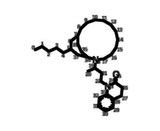 CCCCCC1CC2CCCCCCCCCCN(C(C)CCN3C(=O)CCc4ccccc43)C(CC2)C1